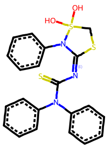 OS1(O)CS/C(=N/C(=S)N(c2ccccc2)c2ccccc2)N1c1ccccc1